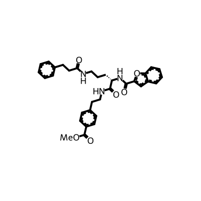 COC(=O)c1ccc(CCNC(=O)[C@H](CCCNC(=O)CCc2ccccc2)NC(=O)c2cc3ccccc3o2)cc1